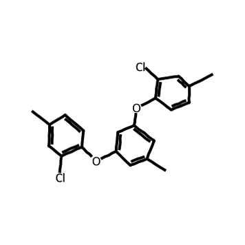 Cc1cc(Oc2ccc(C)cc2Cl)cc(Oc2ccc(C)cc2Cl)c1